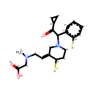 CN(CC=C1CN(C(C(=O)C2CC2)c2ccccc2F)CCC1S)CC(=O)O